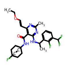 CCOC=Cc1nc(C)nc(NC(C)c2cccc(C(F)F)c2F)c1C(=O)NC12CCC(F)(CC1)CC2